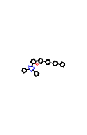 c1ccc(-c2ccc(-c3ccc(-c4ccc5c(c4)oc4c(-c6nc(-c7ccccc7)nc(-c7ccccc7)n6)cccc45)cc3)cc2)cc1